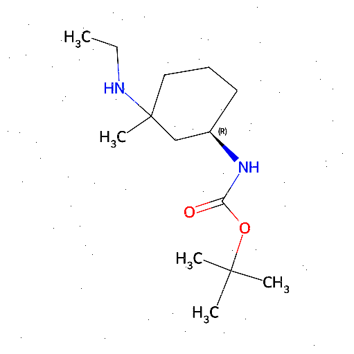 CCNC1(C)CCC[C@@H](NC(=O)OC(C)(C)C)C1